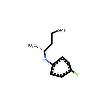 CSCC[C@H](Nc1ccc(F)cc1)C(=O)O